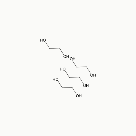 OCCO.OCCO.OCCO.OCCO